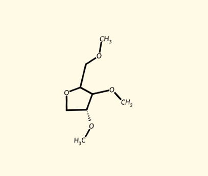 COCC1OC[C@@H](OC)C1OC